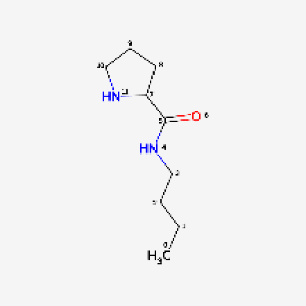 CCCCNC(=O)C1CCCN1